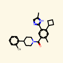 Cc1cnc(-c2cc(C(=O)N3CCC(c4ccccc4C#N)CC3)c(C)cc2C2CCC2)[nH]1